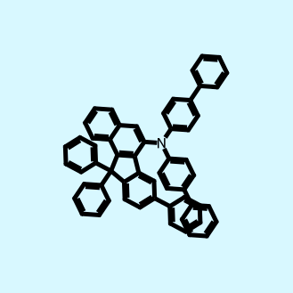 c1ccc(-c2ccc(N(c3ccc(-c4ccccc4)cc3)c3cc4ccccc4c4c3-c3cc(-c5ccccc5)ccc3C4(c3ccccc3)c3ccccc3)cc2)cc1